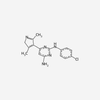 CC1=NCC(C)=C1c1cc(N)nc(Nc2ccc(Cl)cc2)n1